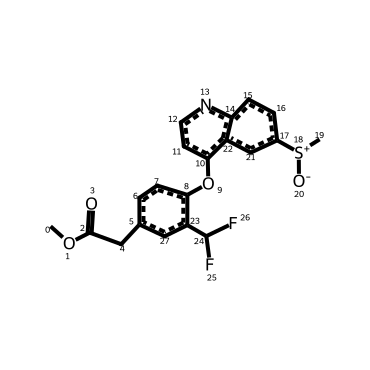 COC(=O)Cc1ccc(Oc2ccnc3ccc([S+](C)[O-])cc23)c(C(F)F)c1